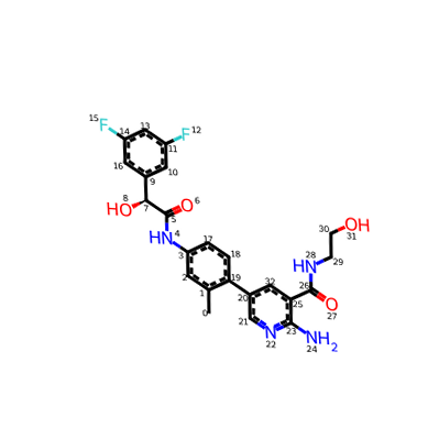 Cc1cc(NC(=O)[C@@H](O)c2cc(F)cc(F)c2)ccc1-c1cnc(N)c(C(=O)NCCO)c1